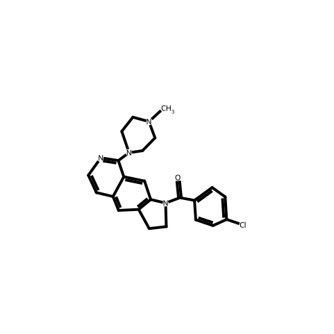 CN1CCN(c2nccc3cc4c(cc23)N(C(=O)c2ccc(Cl)cc2)CC4)CC1